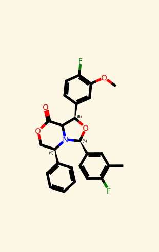 COc1cc([C@H]2O[C@@H](c3ccc(F)c(C)c3)N3C2C(=O)OC[C@@H]3c2ccccc2)ccc1F